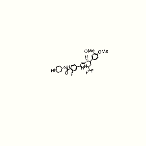 COc1ccc(C2CC(C(F)F)n3nc(-c4ccc(C(=O)NC5CCNCC5)c(F)c4)cc3N2)cc1OC